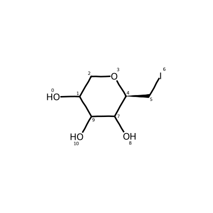 OC1CO[C@@H](CI)C(O)C1O